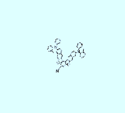 Cc1ccccc1N(c1ccccc1)c1ccc2cc3c(cc2c1)oc1cc(C#N)c2oc4cc5cc(N(c6ccccc6)c6ccccc6C)ccc5cc4c2c13